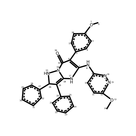 COc1ccc(C2=C(Nc3ccc(OC)nn3)NC3=C(c4ccccc4)C(c4ccccc4)NN3C2=O)cc1